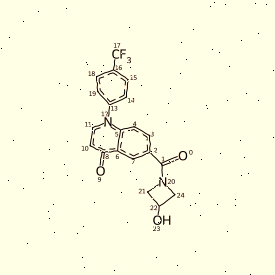 O=C(c1ccc2c(c1)c(=O)ccn2-c1ccc(C(F)(F)F)cc1)N1CC(O)C1